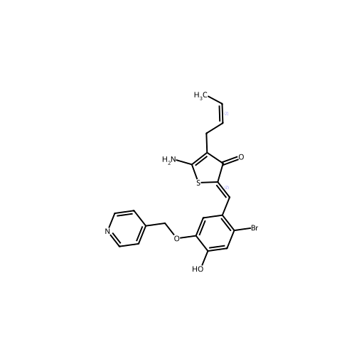 C/C=C\CC1=C(N)S/C(=C\c2cc(OCc3ccncc3)c(O)cc2Br)C1=O